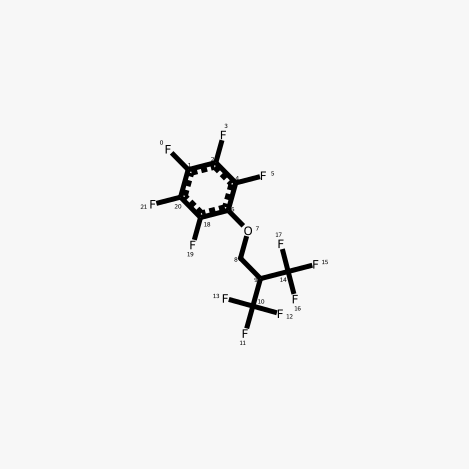 Fc1c(F)c(F)c(OCC(C(F)(F)F)C(F)(F)F)c(F)c1F